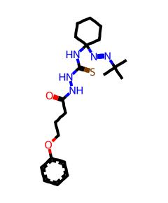 CC(C)(C)N=NC1(NC(=S)NNC(=O)CCCOc2ccccc2)CCCCC1